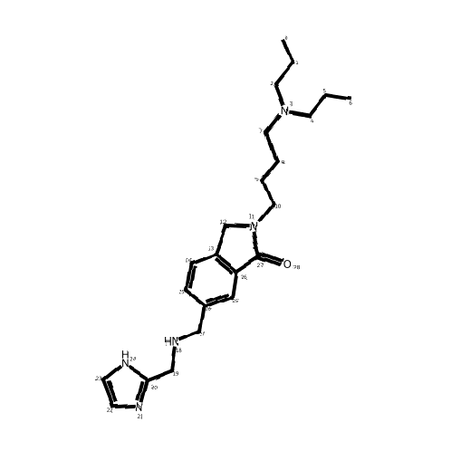 CCCN(CCC)CCCCN1Cc2ccc(CNCc3ncc[nH]3)cc2C1=O